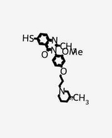 COc1cc(OCCCN2CCC[C@H](C)C2)ccc1-n1c(C)nc2ccc(S)cc2c1=O